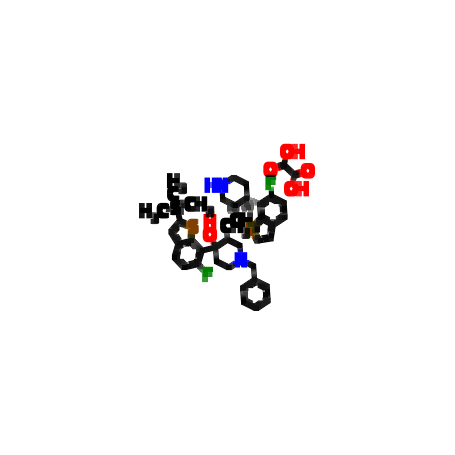 CC1CN(Cc2ccccc2)CCC1(O)c1c(F)ccc2cc([Si](C)(C)C)sc12.C[C@@H]1CNCC[C@@H]1c1c(F)ccc2ccsc12.O=C(O)C(=O)O